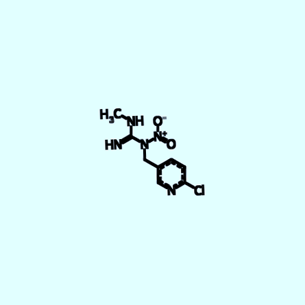 CNC(=N)N(Cc1ccc(Cl)nc1)[N+](=O)[O-]